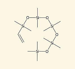 C=C[Si](C)(C)O[Si](C)(C)O[Si](C)(C)O[Si](C)(C)O[Si](C)(C)C